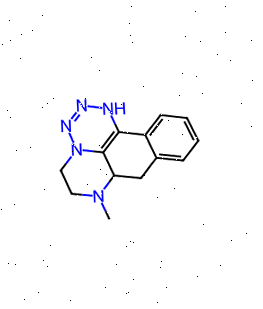 CN1CCN2N=NNC3=C2C1Cc1ccccc13